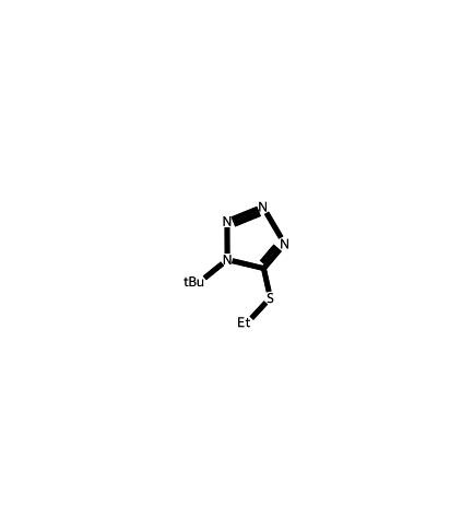 CCSc1nnnn1C(C)(C)C